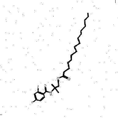 CCCCCCCCCCCCCCCC(=O)OCC(C)(C)NC(=O)c1ccc(F)cc1F